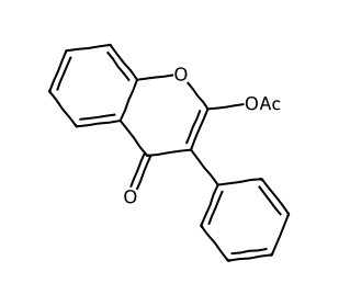 CC(=O)Oc1oc2ccccc2c(=O)c1-c1ccccc1